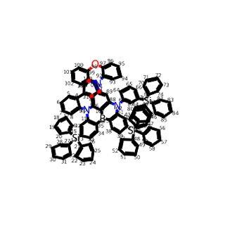 c1ccc(-c2ccccc2N2c3cc([Si](c4ccccc4)(c4ccccc4)c4ccccc4)ccc3B3c4ccc([Si](c5ccccc5)(c5ccccc5)c5ccccc5)cc4N(c4cccc([Si](c5ccccc5)(c5ccccc5)c5ccccc5)c4)c4cc(N5c6ccccc6Oc6ccccc65)cc2c43)cc1